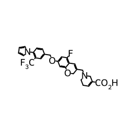 O=C(O)C1=CCCN(CC2=Cc3c(F)cc(OCc4ccc(-n5cccc5)c(C(F)(F)F)c4)cc3OC2)C1